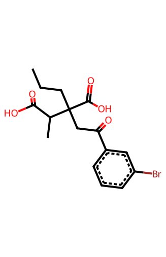 CCCC(CC(=O)c1cccc(Br)c1)(C(=O)O)C(C)C(=O)O